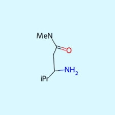 CNC(=O)CC(N)C(C)C